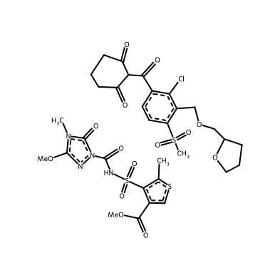 COC(=O)c1csc(C)c1S(=O)(=O)NC(=O)n1nc(OC)n(C)c1=O.CS(=O)(=O)c1ccc(C(=O)C2C(=O)CCCC2=O)c(Cl)c1COCC1CCCO1